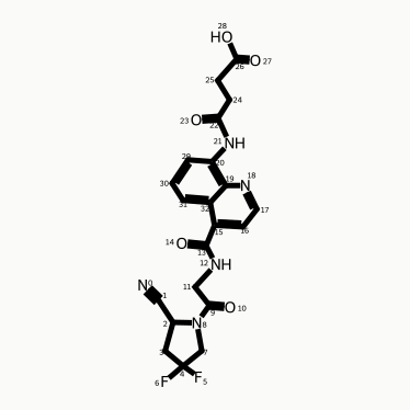 N#CC1CC(F)(F)CN1C(=O)CNC(=O)c1ccnc2c(NC(=O)CCC(=O)O)cccc12